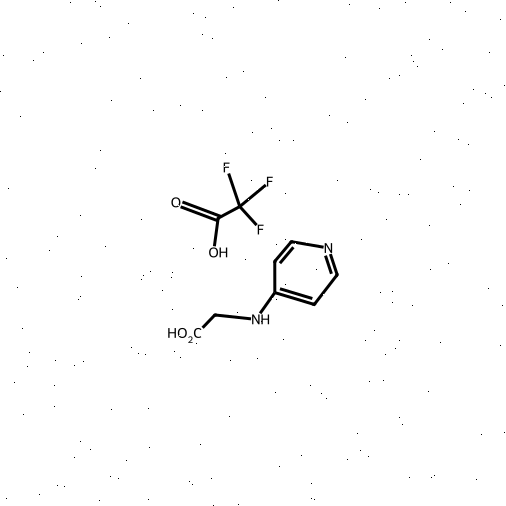 O=C(O)C(F)(F)F.O=C(O)CNc1ccncc1